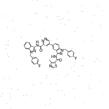 Cc1ncsc1C(=O)Nc1nn(Cc2ccc(F)cc2)c2ccc(-c3cnnc(C(=O)Nc4nn(Cc5ccc(F)cc5)c5ccccc45)c3)cc12